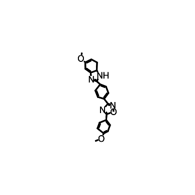 COC1=CCC2NC(c3ccc(-c4noc(-c5ccc(OC)cc5)n4)cc3)=NC2=C1